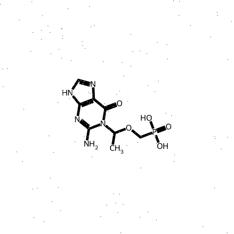 CC(OCP(=O)(O)O)n1c(N)nc2[nH]cnc2c1=O